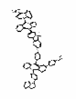 CC1(C)c2ccc(-c3ccc(-c4c5ccccc5c(-c5ccc(-c6cccc7ccccc67)cc5)c5ccc(-c6ccc(C#N)cc6)cc45)cc3)cc2-c2ccc(-c3c4ccccc4c(-c4ccc(C#N)c5ccccc45)c4ccccc34)cc21